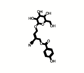 N#CC(=CCOC1OC(CO)C(O)C(O)C1O)COC(=O)c1ccc(O)cc1